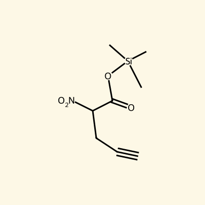 C#CCC(C(=O)O[Si](C)(C)C)[N+](=O)[O-]